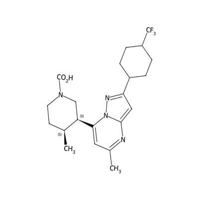 Cc1cc([C@@H]2CN(C(=O)O)CC[C@@H]2C)n2nc(C3CCC(C(F)(F)F)CC3)cc2n1